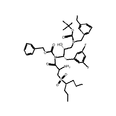 CCCC(CCC)S(=O)(=O)CC(N)C(=O)N(C(=O)OCc1ccccc1)[C@@H](Cc1cc(F)cc(F)c1)[C@H](O)CN(Cc1cccc(CC)c1)C(=O)OC(C)(C)C